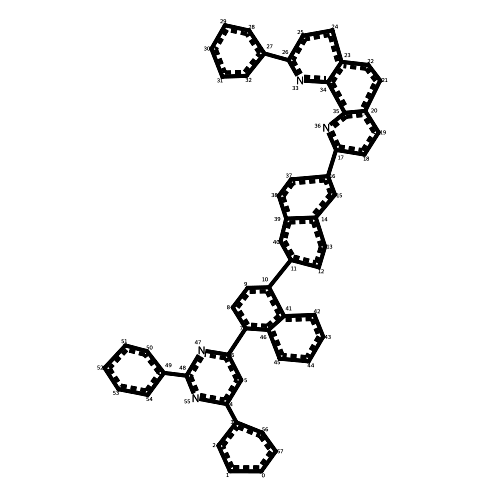 c1ccc(-c2cc(-c3ccc(-c4ccc5cc(-c6ccc7ccc8ccc(-c9ccccc9)nc8c7n6)ccc5c4)c4ccccc34)nc(-c3ccccc3)n2)cc1